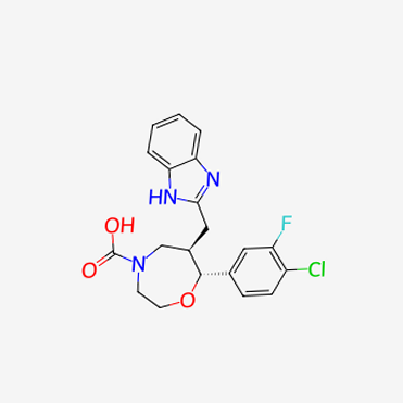 O=C(O)N1CCO[C@@H](c2ccc(Cl)c(F)c2)[C@H](Cc2nc3ccccc3[nH]2)C1